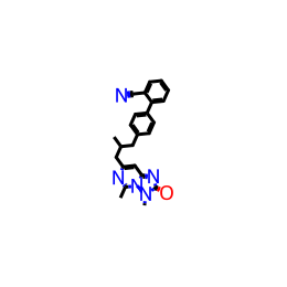 Cc1nc(CC(C)Cc2ccc(-c3ccccc3C#N)cc2)cc2nc(=O)n(C)n12